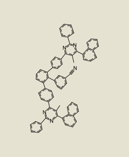 Cc1c(-c2ccc(-c3cccc(-c4ccc(-c5nc(-c6ccccc6)nc(-c6cccc7ccccc67)c5C)cc4)c3-c3cccc(C#N)c3)cc2)nc(-c2ccccc2)nc1-c1cccc2ccccc12